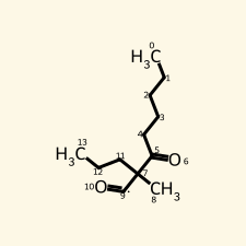 CCCCCC(=O)C(C)([C]=O)CCC